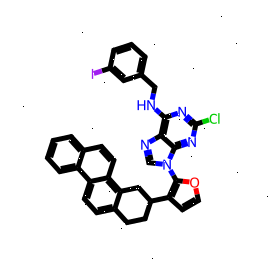 Clc1nc(NCc2cccc(I)c2)c2ncn(-c3occc3C3CCc4ccc5c(ccc6ccccc65)c4C3)c2n1